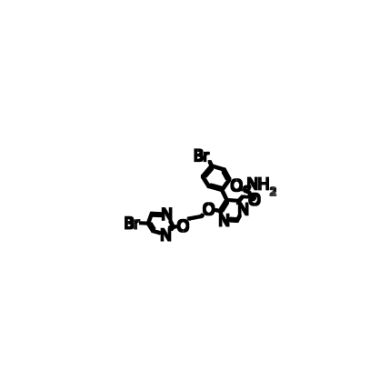 NS(=O)(=O)c1ncnc(OCCOc2ncc(Br)cn2)c1-c1ccc(Br)cc1